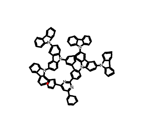 c1ccc(-c2cc(-c3ccccc3)nc(-c3ccc(-n4c5ccc(-n6c7ccccc7c7ccccc76)cc5c5cc(-n6c7ccccc7c7ccccc76)ccc54)c(-c4cccc(-n5c6ccc(-n7c8ccccc8c8ccccc87)cc6c6cc(-n7c8ccccc8c8ccccc87)ccc65)c4)c3)n2)cc1